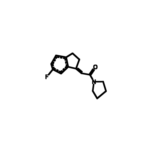 O=C(C=C1CCc2ccc(F)cc21)N1CCCC1